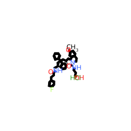 COc1ccc2c(c1)C(C)(CCCC(CCCNC(=O)CCc1ccc(F)cc1)(c1ccccc1)c1ccccc1)N(C(=O)NCCCO)CC2.Cl